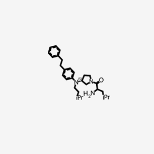 CC(C)CCN(c1ccc(CCc2ccccc2)cc1)[C@H]1CCN(C(=O)C(N)CC(C)C)C1